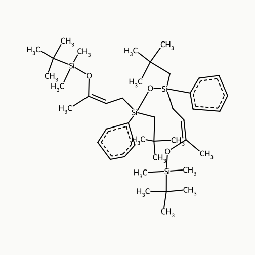 CC(=CC[Si](CC(C)(C)C)(O[Si](CC=C(C)O[Si](C)(C)C(C)(C)C)(CC(C)(C)C)c1ccccc1)c1ccccc1)O[Si](C)(C)C(C)(C)C